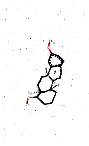 COc1[c]cc2c(c1)[C@H]1CC[C@]3(C)C(OC)CCC[C@H]3[C@@H]1CC2